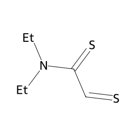 CCN(CC)C(=S)C=S